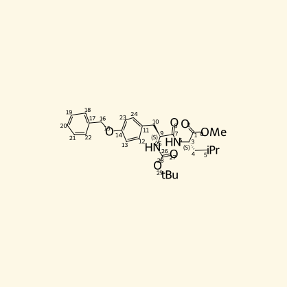 COC(=O)[C@H](CC(C)C)NC(=O)[C@H](Cc1ccc(OCc2ccccc2)cc1)NC(=O)OC(C)(C)C